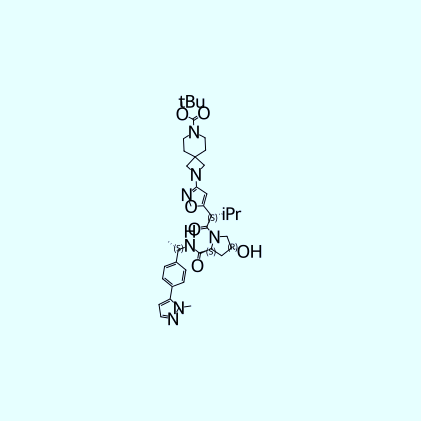 CC(C)[C@H](C(=O)N1C[C@H](O)C[C@H]1C(=O)N[C@@H](C)c1ccc(-c2ccnn2C)cc1)c1cc(N2CC3(CCN(C(=O)OC(C)(C)C)CC3)C2)no1